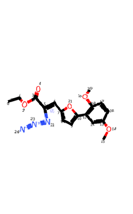 CCOC(=O)/C(=C/c1ccc(-c2cc(OC)ccc2OC)o1)N=[N+]=[N-]